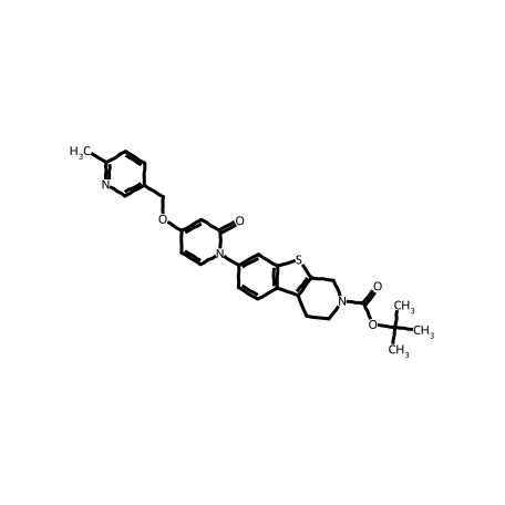 Cc1ccc(COc2ccn(-c3ccc4c5c(sc4c3)CN(C(=O)OC(C)(C)C)CC5)c(=O)c2)cn1